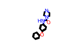 O=C(Nc1ccc(Oc2ccccc2)cc1)N1CC[N]CC1